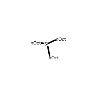 CCCCCCCC[Si](CCCCCCCC)CCCCCCCC